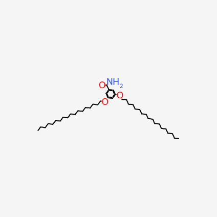 CCCCCCCCCCCCCCCCCCOc1cc(OCCCCCCCCCCCCCCCCCC)cc(C(N)=O)c1